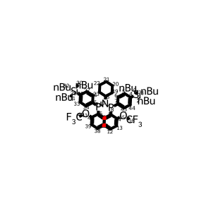 CCCC[Si](CCCC)(CCCC)c1ccc(P(c2ccccc2OC(F)(F)F)N(C2CCCCC2)P(c2ccc([Si](CCCC)(CCCC)CCCC)cc2)c2ccccc2OC(F)(F)F)cc1